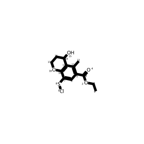 CCOC(=O)c1cc(SCl)c2c(c1C)C(O)CCO2